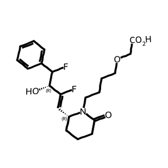 O=C(O)COCCCCN1C(=O)CCC[C@@H]1C=C(F)[C@H](O)C(F)c1ccccc1